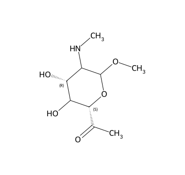 CNC1C(OC)O[C@H](C(C)=O)C(O)[C@@H]1O